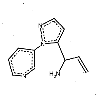 C=CC(N)c1ccnn1-c1cccnc1